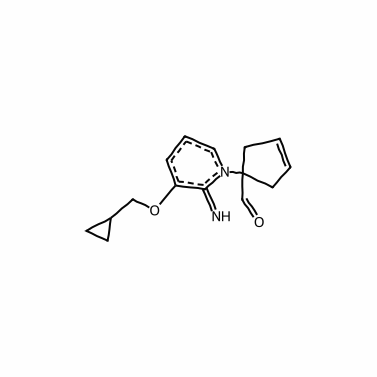 N=c1c(OCC2CC2)cccn1C1(C=O)CC=CC1